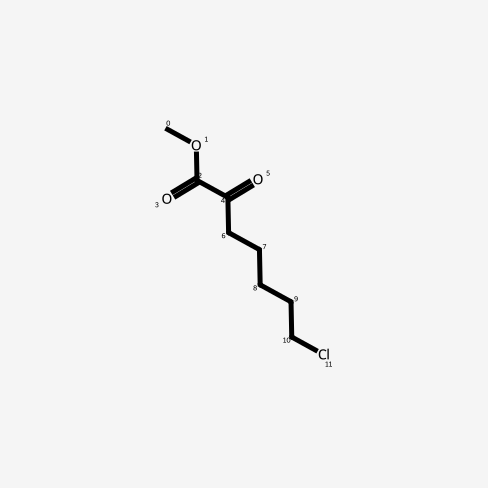 COC(=O)C(=O)CCCCCCl